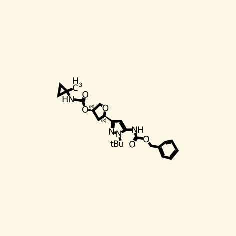 CC1(NC(=O)O[C@H]2CO[C@@H](c3cc(NC(=O)OCc4ccccc4)n(C(C)(C)C)n3)C2)CC1